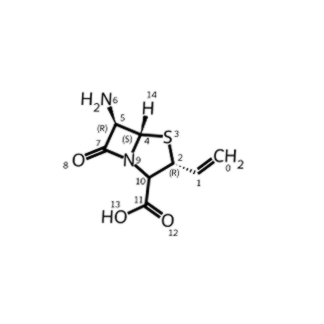 C=C[C@H]1S[C@H]2[C@H](N)C(=O)N2C1C(=O)O